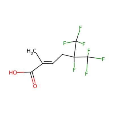 C/C(=C\CC(F)(C(F)(F)F)C(F)(F)F)C(=O)O